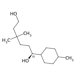 CC1CCC([C@@H](O)CCC(C)(C)CCO)CC1